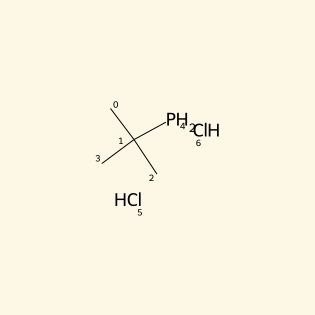 CC(C)(C)P.Cl.Cl